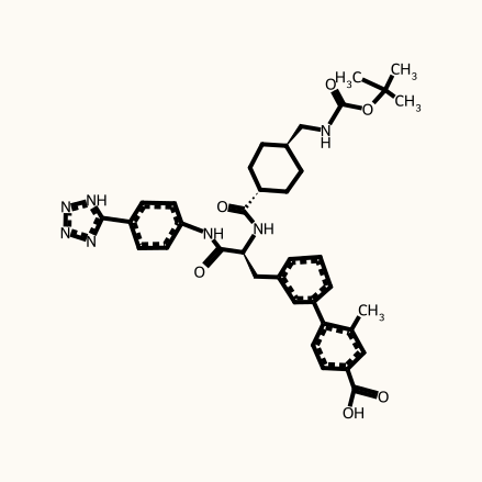 Cc1cc(C(=O)O)ccc1-c1cccc(C[C@H](NC(=O)[C@H]2CC[C@H](CNC(=O)OC(C)(C)C)CC2)C(=O)Nc2ccc(-c3nnn[nH]3)cc2)c1